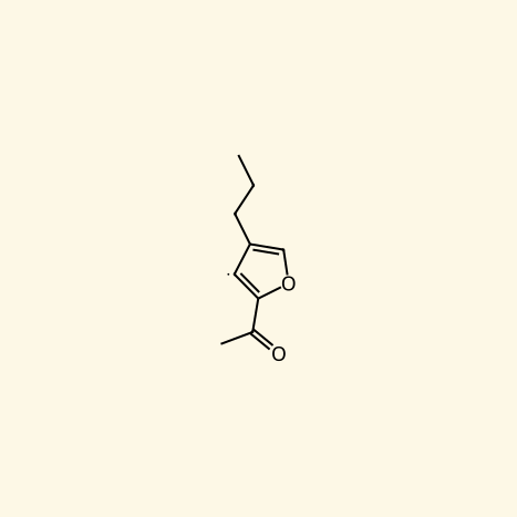 CCCc1[c]c(C(C)=O)oc1